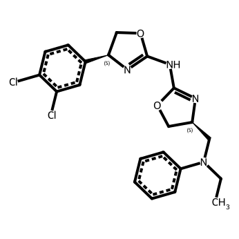 CCN(C[C@H]1COC(NC2=N[C@@H](c3ccc(Cl)c(Cl)c3)CO2)=N1)c1ccccc1